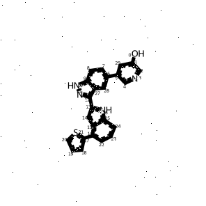 Oc1cncc(-c2ccc3[nH]nc(-c4cc5c(-c6cccs6)cccc5[nH]4)c3c2)c1